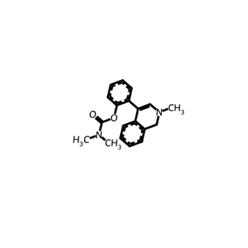 CN1C=C(c2ccccc2OC(=O)N(C)C)c2ccccc2C1